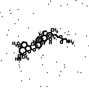 C[C@@H]1CCC2C3C(O[C@H](O[C@@H]4CC[C@@]5(C)[C@H](CC[C@H]6C7CC[C@H]([C@H](C)CCCOC(=O)CN)[C@@]7(C)[C@@H](O)C[C@@H]65)C4)[C@@H]2C)O[C@](C)(OO)CC[C@H]31